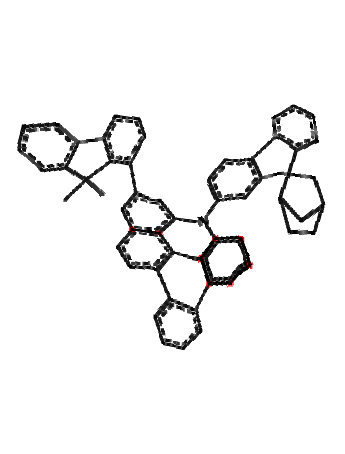 CC1(C)c2ccccc2-c2cccc(-c3cccc(N(c4ccc5c(c4)C4(CC6CCC4C6)c4ccccc4-5)c4ccccc4-c4ccccc4-c4ccccc4-c4ccccc4)c3)c21